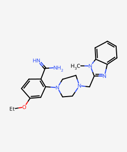 CCOc1ccc(C(=N)N)c(N2CCN(Cc3nc4ccccc4n3C)CC2)c1